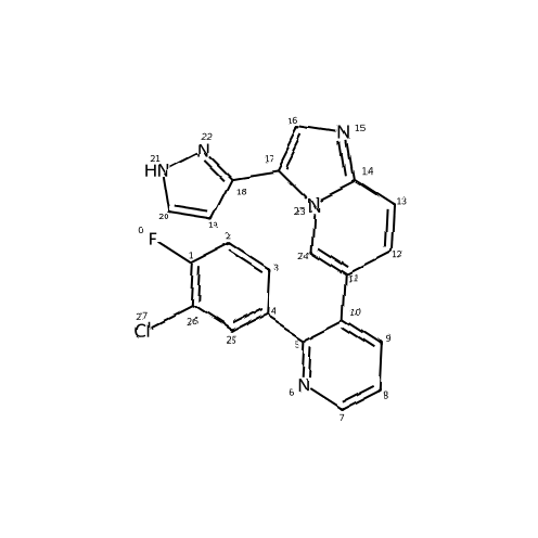 Fc1ccc(-c2ncccc2-c2ccc3ncc(-c4cc[nH]n4)n3c2)cc1Cl